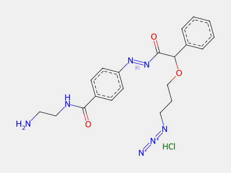 Cl.[N-]=[N+]=NCCCOC(C(=O)/N=N/c1ccc(C(=O)NCCN)cc1)c1ccccc1